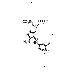 CCOC(=O)CN(CC(=O)OCC)CC1=NN=C(N)C1=NNc1ccc(F)c(F)c1